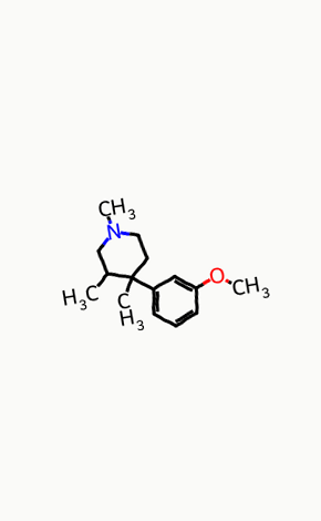 COc1cccc(C2(C)CCN(C)CC2C)c1